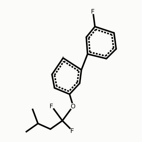 CC(C)CC(F)(F)Oc1cc[c]c(-c2cccc(F)c2)c1